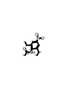 CCc1cc([N+](=O)[O-])cc(CC)c1NC(C)=O